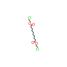 O=C(CCCCCCCCC(=O)OCCCl)OCCCl